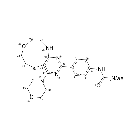 CNC(=O)Nc1ccc(-c2nc3c(c(N4CCOCC4)n2)CCCOCCN3)cc1